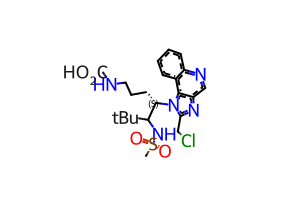 CC(C)(C)C(NS(C)(=O)=O)[C@H](CCCNC(=O)O)n1c(CCl)nc2cnc3ccccc3c21